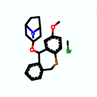 CBr.COc1ccc2c(c1)C(OC1CC3CCC(C1)N3C)c1ccccc1CS2